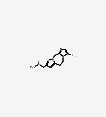 CNCc1cc2n(n1)Cc1ncc(C)n1CC2